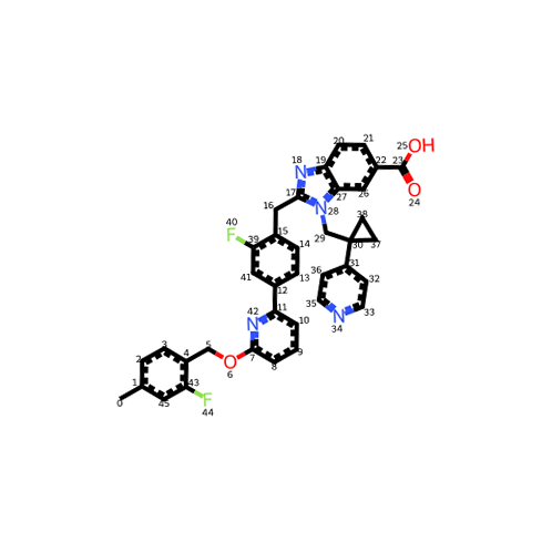 Cc1ccc(COc2cccc(-c3ccc(Cc4nc5ccc(C(=O)O)cc5n4CC4(c5ccncc5)CC4)c(F)c3)n2)c(F)c1